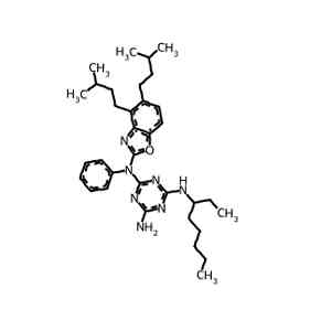 CCCCCC(CC)Nc1nc(N)nc(N(c2ccccc2)c2nc3c(CCC(C)C)c(CCC(C)C)ccc3o2)n1